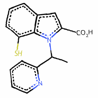 CC(c1ccccn1)n1c(C(=O)O)cc2cccc(S)c21